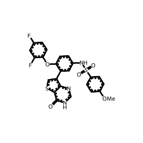 COc1ccc(S(=O)(=O)Nc2ccc(Oc3ccc(F)cc3F)c(-c3csc4c(=O)[nH]cnc34)c2)cc1